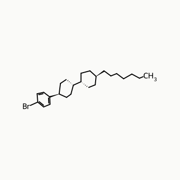 CCCCCCC[C@H]1CC[C@H]([C@H]2CC[C@H](c3ccc(Br)cc3)CC2)CC1